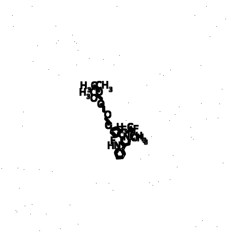 C[C@@H]1Cc2c([nH]c3ccccc23)[C@@H](c2c(F)cc(OCCOCCOCC(=O)OC(C)(C)C)cc2F)N1CC(C)(C)F